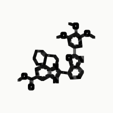 COC(=O)c1ccc2c(c1)nc(-c1cccc3nc(-c4cc(OC)c(OC)c(OC)c4)oc13)n2CCC1=CCCCC1